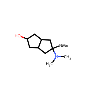 CNC1(N(C)C)CC2CC(O)CC2C1